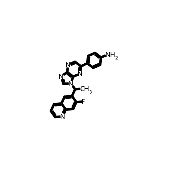 CC(c1cc2cccnc2cc1F)n1cnc2ncc(-c3ccc(N)cc3)nc21